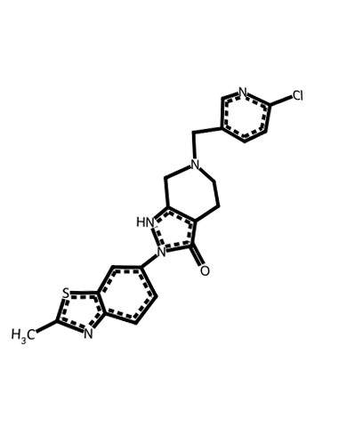 Cc1nc2ccc(-n3[nH]c4c(c3=O)CCN(Cc3ccc(Cl)nc3)C4)cc2s1